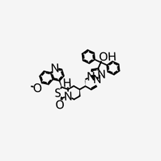 C=C[C@@H](Cn1cc(C(O)(c2ccccc2)c2ccccc2)nn1)[C@H]1CCN2C(=O)S[C@@H](c3ccnc4ccc(OC)cc34)[C@@H]2C1